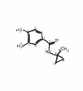 Cc1ccc(C(=O)NC2(C)CC2)cc1N